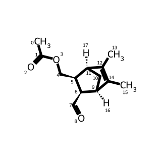 CC(=O)OC[C@@H]1[C@H](C=O)[C@H]2C[C@@H]1C(C)=C2C